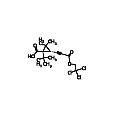 CC(C)(C)[C@]1(C(=O)O)[C@@H](C#CC(=O)OCC(Cl)(Cl)Cl)C1(C)C